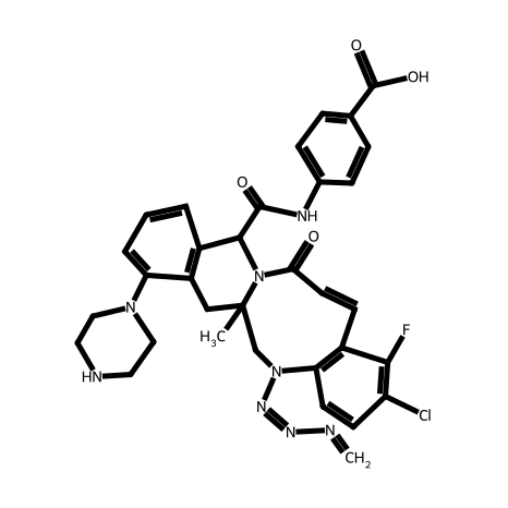 C=N/N=N\N1CC2(C)Cc3c(cccc3N3CCNCC3)C(C(=O)Nc3ccc(C(=O)O)cc3)N2C(=O)/C=C/c2c1ccc(Cl)c2F